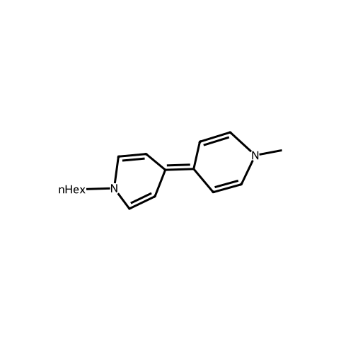 CCCCCCN1C=CC(=C2C=CN(C)C=C2)C=C1